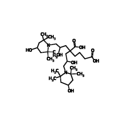 CC1(C)CC(O)CC(C)(C)N1CC(O)CC(CCCC(=O)O)(CC(O)CN1C(C)(C)CC(O)CC1(C)C)C(=O)O